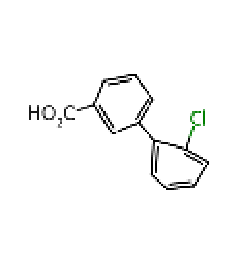 O=C(O)c1cccc(-c2ccccc2Cl)c1